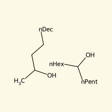 CCCCCCC(O)CCCCC.CCCCCCCCCCCCC(C)O